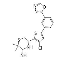 CC1(C)SCC(c2sc(-c3cccc(-c4nnco4)c3)cc2Cl)NC1=N